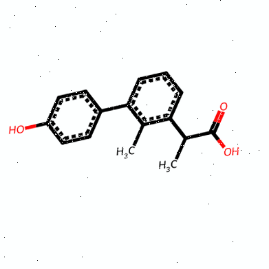 Cc1c(-c2ccc(O)cc2)cccc1C(C)C(=O)O